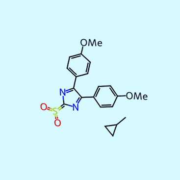 CC1CC1.COc1ccc(C2=NC(=S(=O)=O)N=C2c2ccc(OC)cc2)cc1